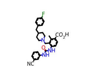 Cc1c(C(=O)O)ccc(NC(=O)Nc2cccc(C#N)c2)c1CN1CCC(Cc2ccc(F)cc2)CC1